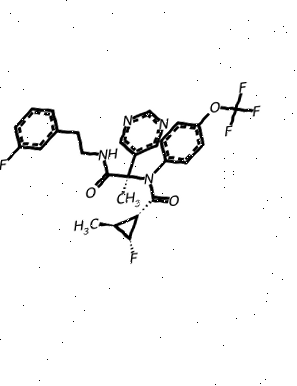 C[C@@H]1[C@@H](F)[C@H]1C(=O)N(c1ccc(OC(F)(F)F)cc1)[C@@](C)(C(=O)NCCc1cccc(F)c1)c1cncnc1